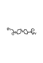 CC(C)CC(=O)N1CCN(C2CCC(C(=O)C(C)C)CC2)CC1